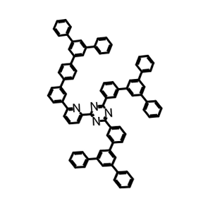 c1ccc(-c2cc(-c3ccccc3)cc(-c3ccc(-c4cccc(-c5cccc(-c6nc(-c7cccc(-c8cc(-c9ccccc9)cc(-c9ccccc9)c8)c7)nc(-c7cccc(-c8cc(-c9ccccc9)cc(-c9ccccc9)c8)c7)n6)n5)c4)cc3)c2)cc1